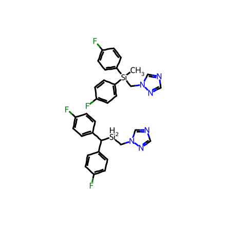 C[Si](Cn1cncn1)(c1ccc(F)cc1)c1ccc(F)cc1.Fc1ccc(C([SiH2]Cn2cncn2)c2ccc(F)cc2)cc1